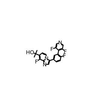 CC(C)(O)c1ccn2c(-c3ccc(F)c(-c4c(F)cncc4F)c3)cnc2c1F